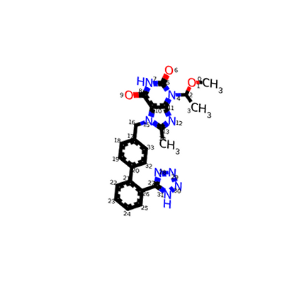 COC(C)n1c(=O)[nH]c(=O)c2c1nc(C)n2Cc1ccc(-c2ccccc2-c2nnn[nH]2)cc1